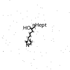 CCCCCCCCC(O)CCCCN1C=NCC1